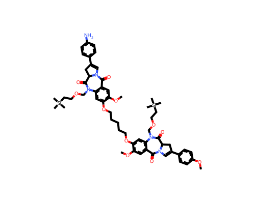 COc1ccc(C2=CN3C(=O)c4cc(OC)c(OCCCCCOc5cc6c(cc5OC)C(=O)N5C=C(c7ccc(N)cc7)CC5C(=O)N6COCC[Si](C)(C)C)cc4N(COCC[Si](C)(C)C)C(=O)C3C2)cc1